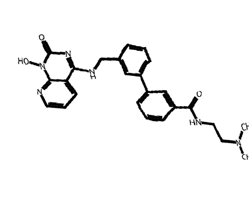 CN(C)CCNC(=O)c1cccc(-c2cccc(CNc3nc(=O)n(O)c4ncccc34)c2)c1